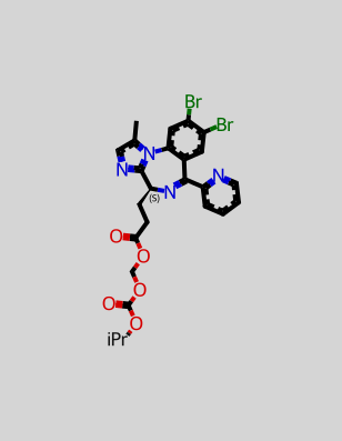 Cc1cnc2n1-c1cc(Br)c(Br)cc1C(c1ccccn1)=N[C@H]2CCC(=O)OCOC(=O)OC(C)C